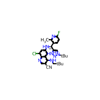 Cc1nc(F)ccc1[C@H](Nc1cc(Cl)c2ncc(C#N)c(NCC(C)(C)C)c2c1)C1=CN(C(C)(C)C)NN1